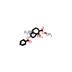 CCOC(=O)C1CCC[C@@H]2[C@@H](C)[C@H](OC(=O)c3ccccc3)CC[C@@]2(C)C1=O